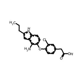 CCCc1cc2c(N)c(Oc3ccc(CC(=O)O)cc3Cl)ccc2[nH]1